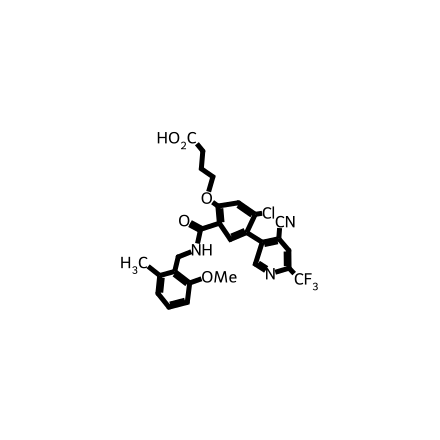 COc1cccc(C)c1CNC(=O)c1cc(-c2cnc(C(F)(F)F)cc2C#N)c(Cl)cc1OCCCC(=O)O